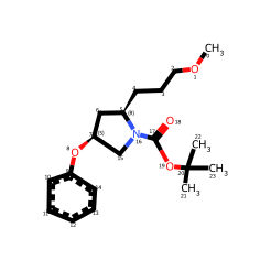 COCCC[C@@H]1C[C@H](Oc2ccccc2)CN1C(=O)OC(C)(C)C